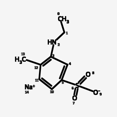 CCNc1cc(S(=O)(=O)[O-])ccc1C.[Na+]